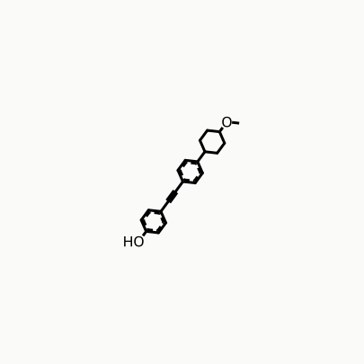 COC1CCC(c2ccc(C#Cc3ccc(O)cc3)cc2)CC1